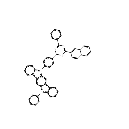 C1=CC2C=CC(C3=NC(c4ccccc4)=NC(c4ccc(-n5c6ccccc6c6cc7c(cc65)c5ccccc5n7-c5ccccc5)cc4)N3)=CC2C=C1